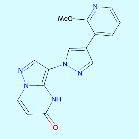 COc1ncccc1-c1cnn(-c2cnn3ccc(=O)[nH]c23)c1